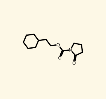 O=C1CCCN1C(=O)OCCC1CCCCC1